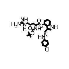 CC(C)(C)OC(=O)NC(CCCNC(=N)N)C(=O)Oc1cccc2[nH]cc(/C=N/Nc3ccc(Cl)cc3)c12